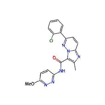 COc1ccc(NC(=O)c2c(C)nc3ccc(-c4ccccc4Cl)nn23)nn1